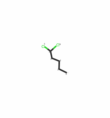 [CH2]CC[CH]C(Cl)Cl